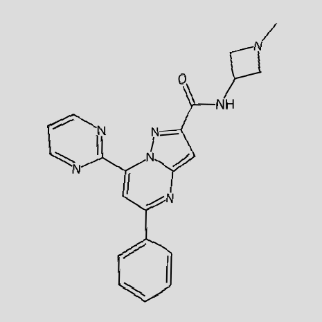 CN1CC(NC(=O)c2cc3nc(-c4ccccc4)cc(-c4ncccn4)n3n2)C1